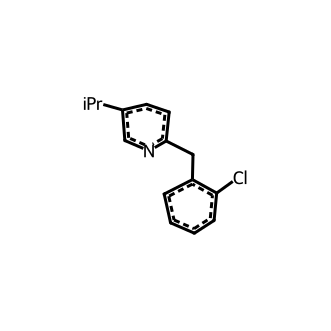 CC(C)c1ccc(Cc2ccccc2Cl)nc1